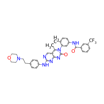 Cc1ccc(NC(=O)c2cccc(C(F)(F)F)c2)cc1-n1c(C)c2cnc(Nc3ccc(CCN4CCOCC4)cc3)nc2nc1=O